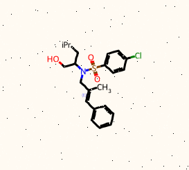 C/C(=C\c1ccccc1)CN(C(CO)CC(C)C)S(=O)(=O)c1ccc(Cl)cc1